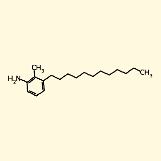 CCCCCCCCCCCCc1cccc(N)c1C